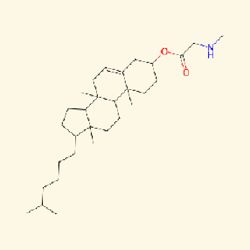 CNCC(=O)OC1CCC2(C)C(=CCC3(C)C2CCC2(C)C(CCCCC(C)C)CCC23)C1